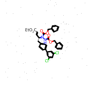 CCOC(=O)/C=C/[C@@H](Cc1ccc(-c2cc(Cl)cc(Cl)c2)cc1)N(NC(=O)OCc1ccccc1)C(=O)OCc1ccccc1